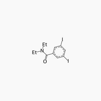 CCN(CC)C(=O)c1cc(I)cc(I)c1